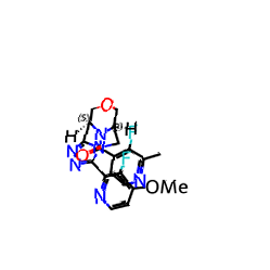 COc1ccnc(-c2nnc3n2C[C@@H]2COC[C@H]3N2C(=O)c2ccnc(C)c2F)c1F